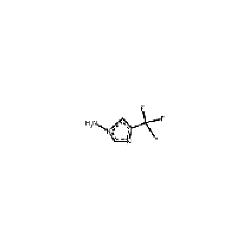 Nn1cnc(C(F)(F)F)c1